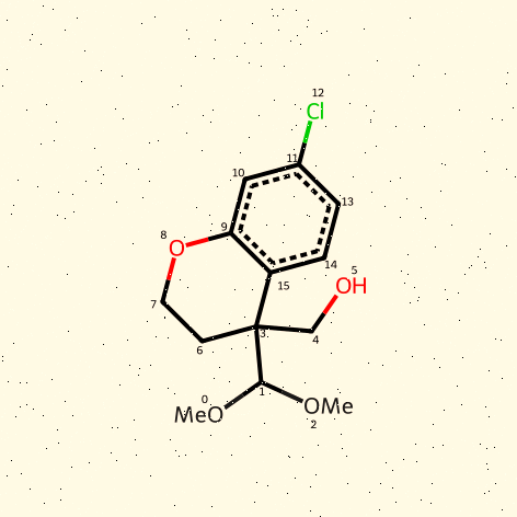 COC(OC)C1(CO)CCOc2cc(Cl)ccc21